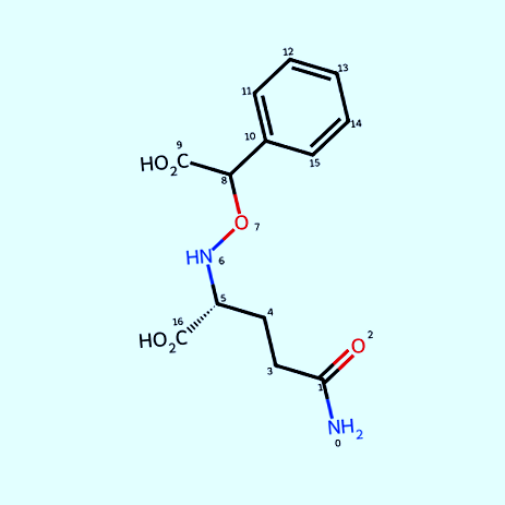 NC(=O)CC[C@@H](NOC(C(=O)O)c1ccccc1)C(=O)O